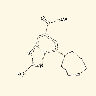 COC(=O)c1cc(C2CCCOCC2)c2nc(N)sc2c1